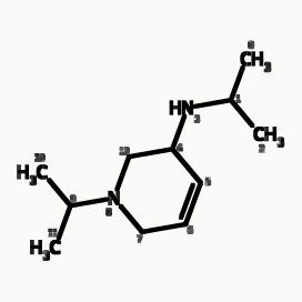 CC(C)NC1C=CCN(C(C)C)C1